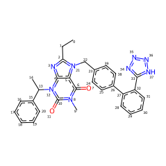 CCc1nc2c(c(=O)n(C)c(=O)n2C(C)c2ccccc2)n1Cc1ccc(-c2ccccc2-c2nnn[nH]2)cc1